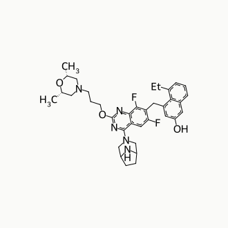 CCc1cccc2cc(O)cc(Cc3c(F)cc4c(N5CC6CCC(C5)N6)nc(OCCCN5C[C@@H](C)O[C@@H](C)C5)nc4c3F)c12